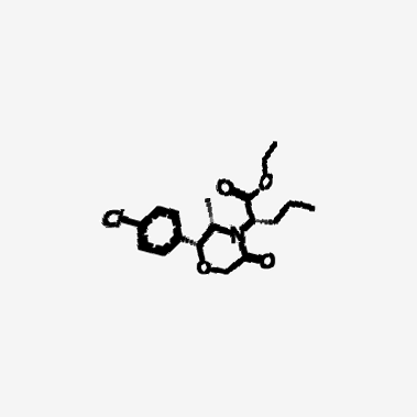 CCC[C@@H](C(=O)OCC)N1C(=O)CO[C@H](c2ccc(Cl)cc2)[C@@H]1C